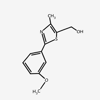 COc1cccc(-c2nc(C)c(CO)s2)c1